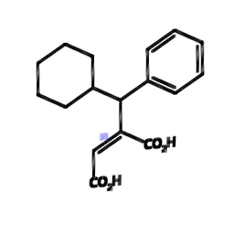 O=C(O)/C=C(\C(=O)O)C(c1ccccc1)C1CCCCC1